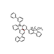 CC1(C)c2ccccc2-c2ccc(-c3ccc(N(c4cccc(-c5ccccc5)c4)c4ccccc4-c4cccc(-c5cccc6ccccc56)c4)cc3)cc21